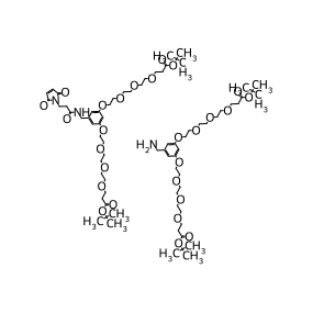 CC(C)(C)OC(=O)CCOCCOCCOCCOc1cc(CN)cc(OCCOCCOCCOCCC(=O)OC(C)(C)C)c1.CC(C)(C)OC(=O)CCOCCOCCOCCOc1cc(CNC(=O)CCN2C(=O)C=CC2=O)cc(OCCOCCOCCOCCC(=O)OC(C)(C)C)c1